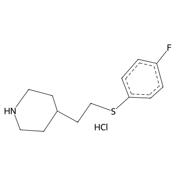 Cl.Fc1ccc(SCCC2CCNCC2)cc1